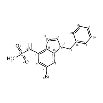 CS(=O)(=O)Nc1cc(Br)cc2c1ncn2Cc1ccccc1